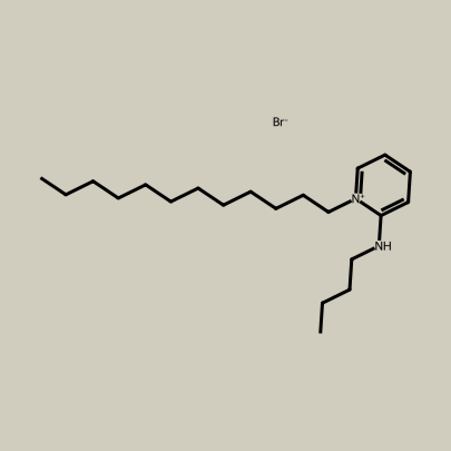 CCCCCCCCCCCC[n+]1ccccc1NCCCC.[Br-]